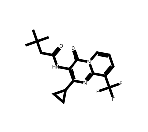 CC(C)(C)CC(=O)Nc1c(C2CC2)nc2c(C(F)(F)F)cccn2c1=O